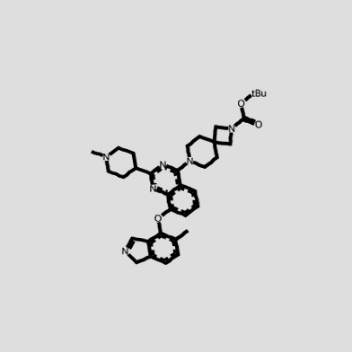 Cc1ccc2c(c1Oc1cccc3c(N4CCC5(CC4)CN(C(=O)OC(C)(C)C)C5)nc(C4CCN(C)CC4)nc13)C=NC2